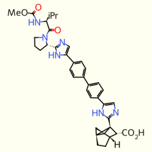 COC(=O)N[C@H](C(=O)N1CCC[C@H]1c1ncc(-c2ccc(-c3ccc(-c4cnc([C@]56[C@H](C(=O)O)[C@@H]7CC[C@@]58C[C@@]786)[nH]4)cc3)cc2)[nH]1)C(C)C